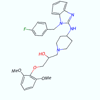 COc1cccc(OC)c1OCC(O)CN1CCC(Nc2nc3ccccc3n2Cc2ccc(F)cc2)CC1